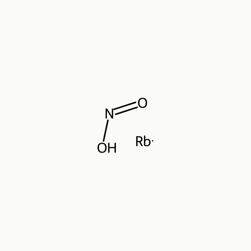 O=NO.[Rb]